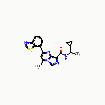 Cc1cc(-c2cccc3ncsc23)nc2c(C(=O)NC(C3CC3)C(F)(F)F)ncn12